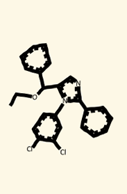 CCOC(c1ccccc1)c1cnc(-c2ccccc2)n1-c1ccc(Cl)c(Cl)c1